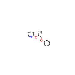 N#CC(COc1ccccc1)Oc1ccccn1